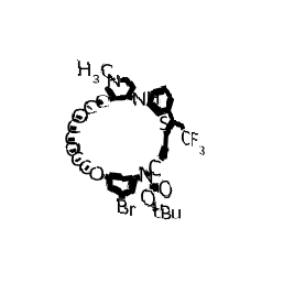 CN1CCC2Nc3cccc4c(CC(F)(F)F)c(sc34)C#CCN(C(=O)OC(C)(C)C)c3cc(Br)cc(c3)OCCOCCOCCC2C1